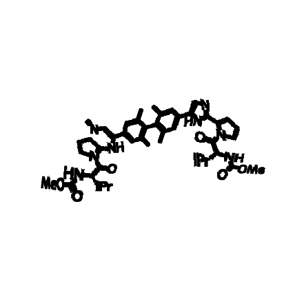 C=N/C=C(\NC1CCCN1C(=O)[C@@H](NC(=O)OC)C(C)C)c1cc(C)c(-c2c(C)cc(-c3cnc(C4CCCN4C(=O)[C@@H](NC(=O)OC)C(C)C)[nH]3)cc2C)c(C)c1